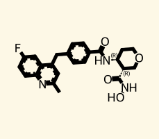 Cc1cc(Cc2ccc(C(=O)N[C@@H]3CCOC[C@@H]3C(=O)NO)cc2)c2cc(F)ccc2n1